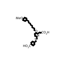 COc1ccc(CCCCCCCCOc2ccc(CSCc3ccc(C(=O)O)cc3)nc2/C=C/C(=O)O)cc1